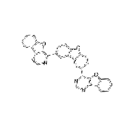 c1ccc2c(c1)oc1c(-c3ccc4oc5ccc(-c6ncnc7c6oc6ccccc67)cc5c4c3)ncnc12